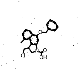 Cc1cccc2c(OCc3ccccc3)cc3c(c12)C(CCl)CN3C(=O)O